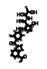 CC(=O)c1cccc2c1CCN2C(=O)c1ccc(Nc2snc(O)c2C(=N)NC(O)C(C)O)cc1C